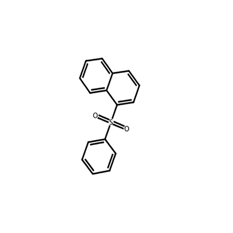 O=S(=O)(c1ccccc1)c1cccc2ccccc12